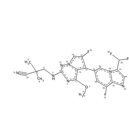 COc1nc(NCC(C)(C)C#N)nn2cc(F)c(-c3cc(F)c4ncc(C(F)F)n4c3)c12